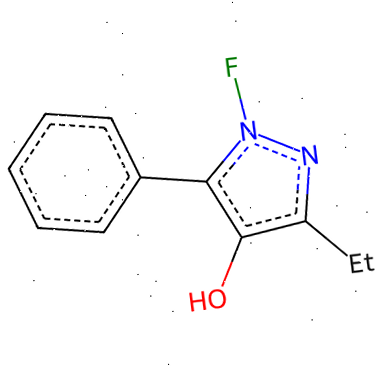 CCc1nn(F)c(-c2ccccc2)c1O